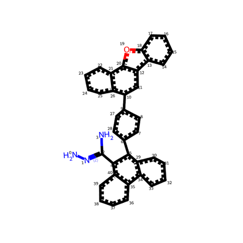 N/N=C(\N)c1c(-c2ccc(-c3cc4c5ccccc5oc4c4ccccc34)cc2)c2ccccc2c2ccccc12